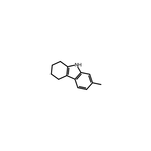 Cc1ccc2c3c([nH]c2c1)CC[CH]C3